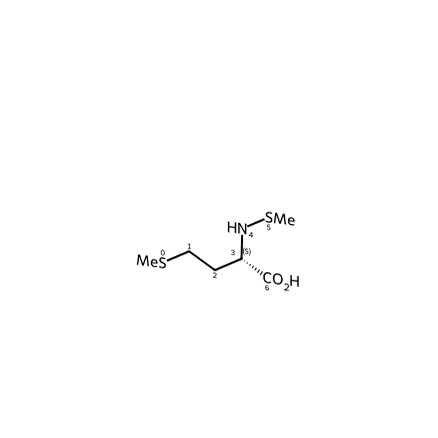 CSCC[C@H](NSC)C(=O)O